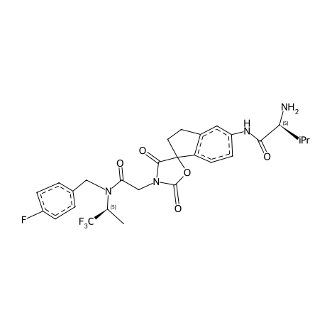 CC(C)[C@H](N)C(=O)Nc1ccc2c(c1)CCC21OC(=O)N(CC(=O)N(Cc2ccc(F)cc2)[C@@H](C)C(F)(F)F)C1=O